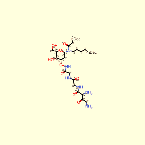 CCCCCCCCCCCCCCN(C(=O)CCCCCCCCCCC)[C@H]1C[C@H](ONC(=O)CNC(=O)CNC(=O)C(N)C(=O)CN)[C@@H](O)[C@@H](CO)O1